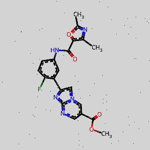 COC(=O)c1cnc2nc(-c3cc(NC(=O)c4oc(C)nc4C)ccc3F)cn2c1